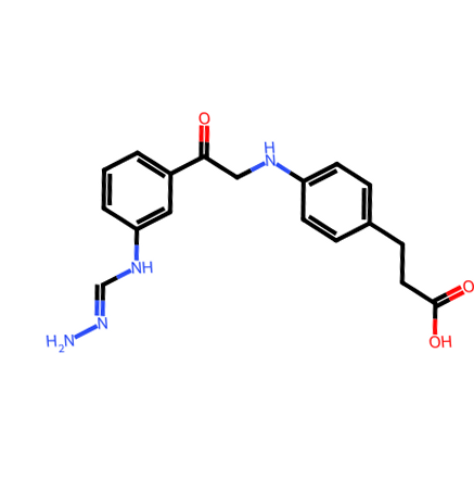 NN=CNc1cccc(C(=O)CNc2ccc(CCC(=O)O)cc2)c1